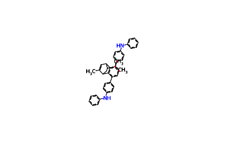 CC1=CC2c3c(-c4ccc(Nc5ccccc5)cc4)ccc(-c4ccc(Nc5ccccc5)cc4)c3C1CC2C(C)C